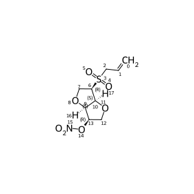 C=CCS(=O)(=O)[C@@H]1CO[C@H]2[C@@H]1OC[C@H]2O[N+](=O)[O-]